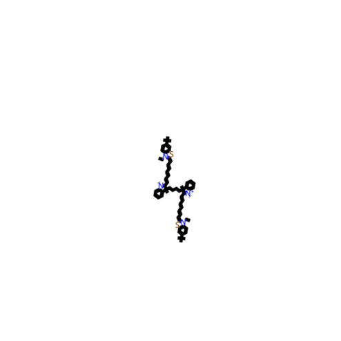 CCN1C(=CC=CC=CC=CC2=[N+](C)c3ccccc3C2(C)CCCCC2(C)c3ccccc3N(C)C2C=CC=CC=CC=C2Sc3cc(C(C)(C)C)ccc3N2CC)Sc2cc(C(C)(C)C)ccc21